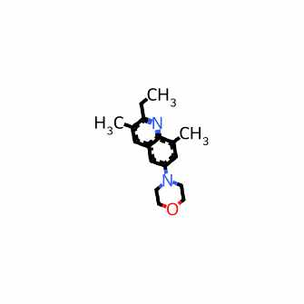 CCc1nc2c(C)cc(N3CCOCC3)cc2cc1C